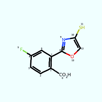 O=C(O)c1ccc(F)cc1-c1nc(S)co1